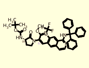 COC(=O)/C(=C\c1cc2ccnc(NC(c3ccccc3)(c3ccccc3)c3ccccc3)c2cc1OC(F)(F)F)N1CC[C@H](NC(=O)OC(C)(C)C)C1=O